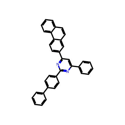 c1ccc(-c2ccc(-c3nc(-c4ccccc4)cc(-c4ccc5c(ccc6ccccc65)c4)n3)cc2)cc1